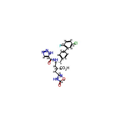 O=C(N[C@H](Cc1ccc(-c2cc(Cl)ccc2F)cc1)C[C@@H](Cc1noc(=O)[nH]1)C(=O)O)c1cnn[nH]1